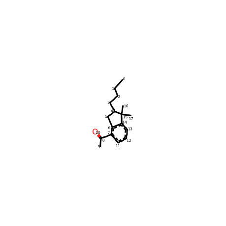 CCCCC1Cc2c(C(C)=O)cccc2C1(C)C